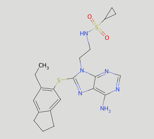 CCc1cc2c(cc1Sc1nc3c(N)ncnc3n1CCNS(=O)(=O)C1CC1)CCC2